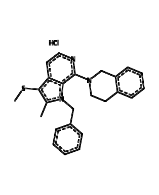 CSc1c(C)n(Cc2ccccc2)c2c(N3CCc4ccccc4C3)nccc12.Cl